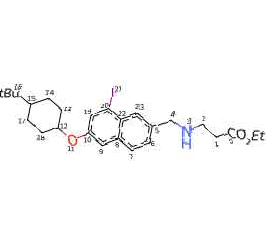 CCOC(=O)CCNCc1ccc2cc(OC3CCC(C(C)(C)C)CC3)cc(I)c2c1